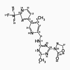 Cc1nc(NCc2cc(C)c(-c3ccnc(C(F)(F)F)c3)cn2)nc(N2CCOC2=O)n1